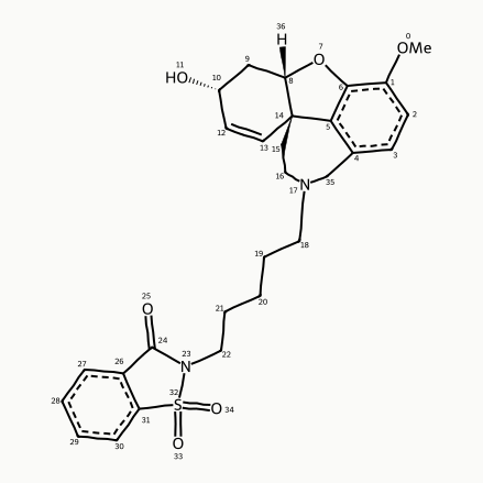 COc1ccc2c3c1O[C@H]1C[C@@H](O)C=C[C@@]31CCN(CCCCCN1C(=O)c3ccccc3S1(=O)=O)C2